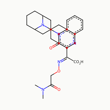 CN(C)C(=O)CO/N=C(\C(=O)O)c1nc2ccccc2n(C2CC3CCCC(C2)N3C2CC3CCCC(C3)C2)c1=O